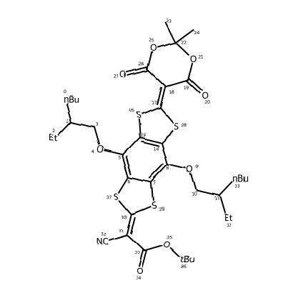 CCCCC(CC)COc1c2c(c(OCC(CC)CCCC)c3c1SC(=C1C(=O)OC(C)(C)OC1=O)S3)SC(=C(C#N)C(=O)OC(C)(C)C)S2